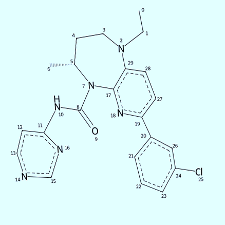 CCN1CC[C@@H](C)N(C(=O)Nc2ccncn2)c2nc(-c3cccc(Cl)c3)ccc21